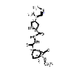 N/N=C\N(N)[C@@H]1CN[C@H](C(=O)NNC(=O)[C@@H]2CC[C@H]3CN2C(=O)N3OS(=O)(=O)O)C1